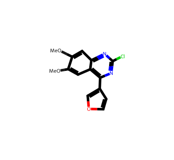 COc1cc2nc(Cl)nc(-c3ccoc3)c2cc1OC